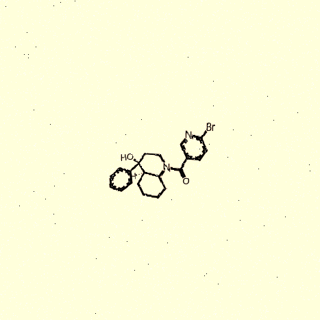 O=C(c1ccc(Br)nc1)N1CC[C@@](O)(c2ccccc2)[C@@H]2CCCCC21